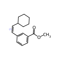 COC(=O)c1cccc(/C=C\C2CCCCC2)c1